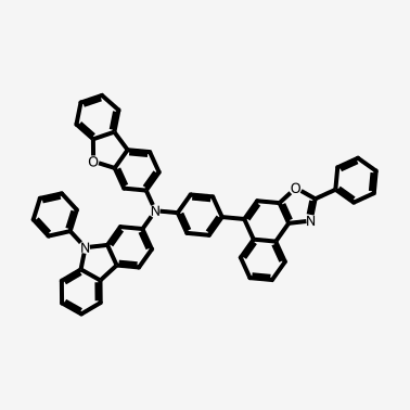 c1ccc(-c2nc3c(cc(-c4ccc(N(c5ccc6c(c5)oc5ccccc56)c5ccc6c7ccccc7n(-c7ccccc7)c6c5)cc4)c4ccccc43)o2)cc1